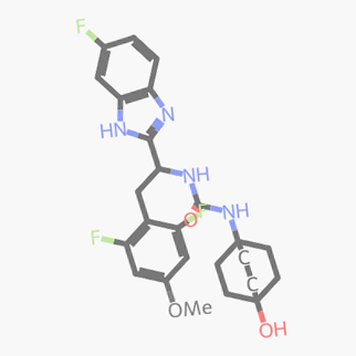 COc1cc(F)c(CC(NC(=O)NC23CCC(O)(CC2)CC3)c2nc3ccc(F)cc3[nH]2)c(F)c1